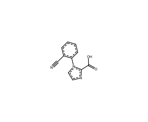 N#Cc1ccccc1-n1ccnc1C(=O)O